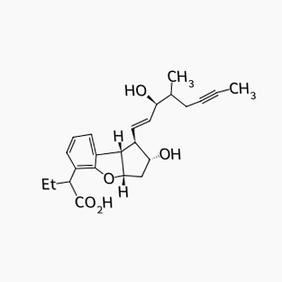 CC#CCC(C)[C@H](O)/C=C/[C@@H]1[C@H]2c3cccc(C(CC)C(=O)O)c3O[C@H]2C[C@H]1O